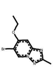 CCOc1cc2nc(C)nn2cc1Br